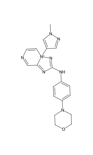 Cn1cc([N+]23C=CN=CC2=NC(Nc2ccc(N4CCOCC4)cc2)=N3)cn1